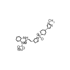 Cn1cc(-c2ccc(S(=O)(=O)n3ccc(C=CC(=O)Nc4ccccc4NC(=O)OC(C)(C)C)c3)cc2)cn1